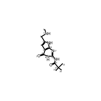 CNCc1cc2c(=O)[nH]c(NC(=O)C(C)(C)C)nc2[nH]1